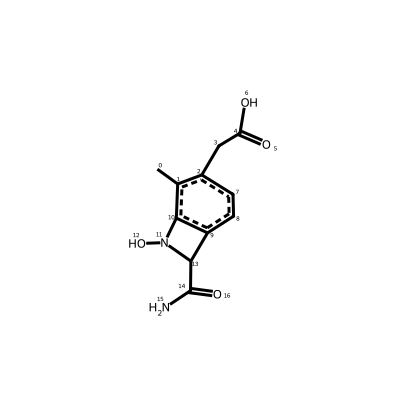 Cc1c(CC(=O)O)ccc2c1N(O)C2C(N)=O